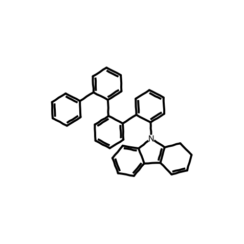 C1=Cc2c(n(-c3ccccc3-c3ccccc3-c3ccccc3-c3ccccc3)c3ccccc23)CC1